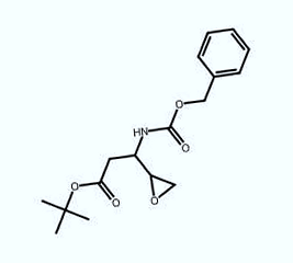 CC(C)(C)OC(=O)CC(NC(=O)OCc1ccccc1)C1CO1